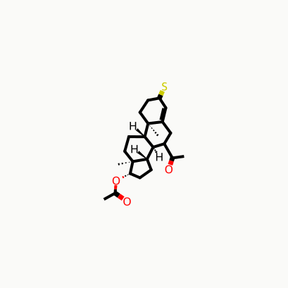 CC(=O)O[C@H]1CC[C@H]2[C@@H]3C(C(C)=O)CC4=CC(=S)CC[C@]4(C)[C@H]3CC[C@]12C